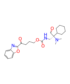 CN(C)[C@](C=O)(CNC(=O)OCCCC(=O)c1nc2ccccc2o1)C1CCCCC1